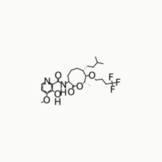 COc1ccnc(C(=O)N[C@H]2CCC[C@H](CCC(C)C)[C@@H](OCCCC(F)(F)F)[C@H](C)OC2=O)c1O